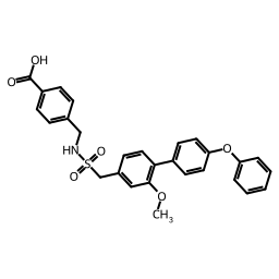 COc1cc(CS(=O)(=O)NCc2ccc(C(=O)O)cc2)ccc1-c1ccc(Oc2ccccc2)cc1